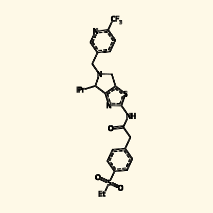 CCS(=O)(=O)c1ccc(CC(=O)Nc2nc3c(s2)CN(Cc2ccc(C(F)(F)F)nc2)C3C(C)C)cc1